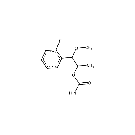 COC(c1ccccc1Cl)C(C)OC(N)=O